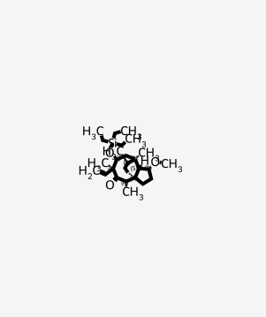 C=C[C@]1(C)C(=O)[C@H](C)[C@@]23CC[C@@H](C)[C@@](C)(C[C@@H]1O[Si](CC)(CC)CC)[C@@H]2[C@H](OC)CC3